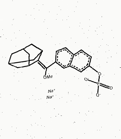 COC(=C1C2CC3CC(C2)CC1C3)c1ccc2ccc(OP(=O)([O-])[O-])cc2c1.[Na+].[Na+]